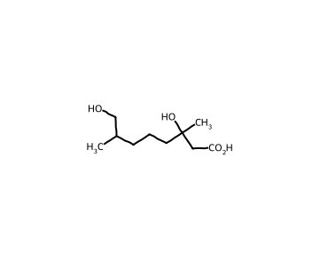 CC(CO)CCCC(C)(O)CC(=O)O